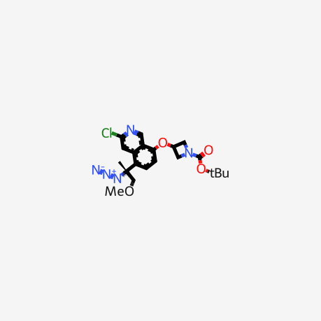 COC[C@](C)(N=[N+]=[N-])c1ccc(OC2CN(C(=O)OC(C)(C)C)C2)c2cnc(Cl)cc12